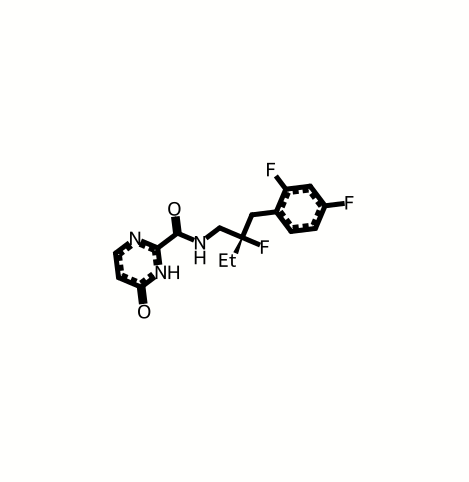 CC[C@@](F)(CNC(=O)c1nccc(=O)[nH]1)Cc1ccc(F)cc1F